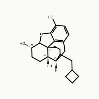 Oc1ccc2c3c1OC1[C@@H](O)CC[C@@]4(O)[C@@H](C2)C(CC2CCC2)CC[C@]314